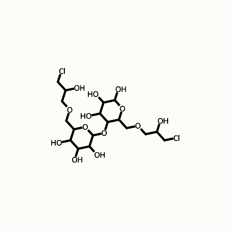 OC(CCl)COCC1OC(OC2C(COCC(O)CCl)OC(O)C(O)C2O)C(O)C(O)C1O